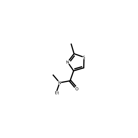 CCN(C)C(=O)c1csc(C)n1